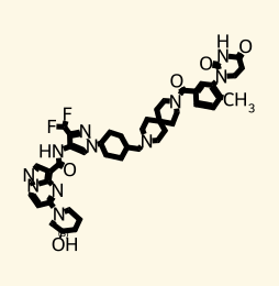 Cc1ccc(C(=O)N2CCC3(CCN(CC4CCC(n5cc(NC(=O)c6cnn7ccc(N8CCC[C@H](O)C8)nc67)c(C(F)F)n5)CC4)CC3)CC2)cc1N1CCC(=O)NC1=O